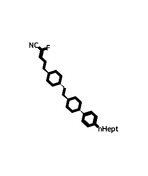 CCCCCCCc1ccc([C@H]2CC[C@H](CC[C@H]3CC[C@H](CCC=C(F)C#N)CC3)CC2)cc1